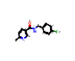 Cc1ccc(C(=O)NCc2ccc(F)cc2)cn1